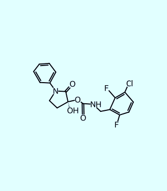 O=C(NCc1c(F)ccc(Cl)c1F)O[C@@]1(O)CCN(c2ccccc2)C1=O